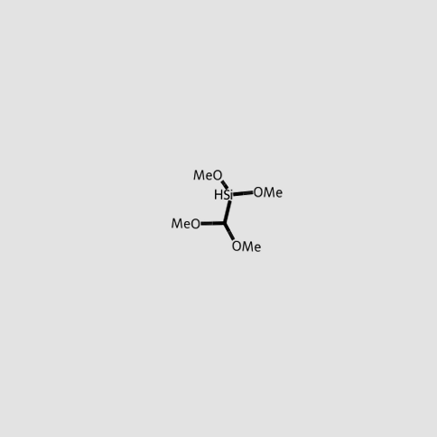 COC(OC)[SiH](OC)OC